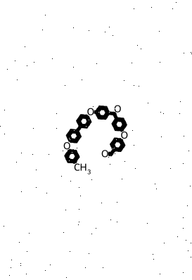 Cc1ccc(Oc2ccc(-c3ccc(Oc4ccc(C(=O)c5ccc(Oc6ccc(C=O)cc6)cc5)cc4)cc3)cc2)cc1